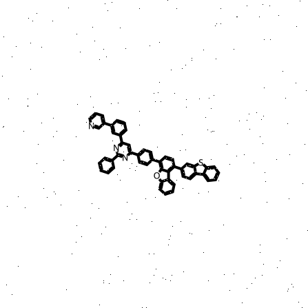 c1ccc(-c2nc(-c3ccc(-c4ccc(-c5ccc6c(c5)sc5ccccc56)c5c4oc4ccccc45)cc3)cc(-c3cccc(-c4cccnc4)c3)n2)cc1